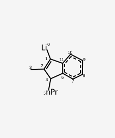 [Li][C]1=C(C)C(CCC)c2ccccc21